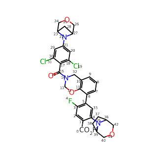 O=C(O)c1cc(F)c(-c2cccc3c2OCN(C(=O)c2c(Cl)cc(N4C5COCC4C5)cc2Cl)C3)cc1N1C2CCC1COC2